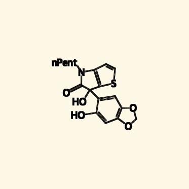 CCCCCN1C(=O)C(O)(c2cc3c(cc2O)OCO3)c2sccc21